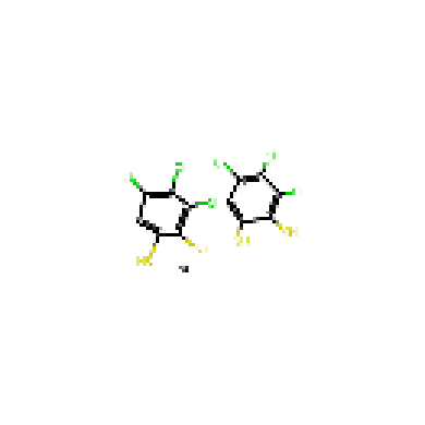 Sc1cc(Cl)c(Cl)c(Cl)c1S.Sc1cc(Cl)c(Cl)c(Cl)c1S.[Ni]